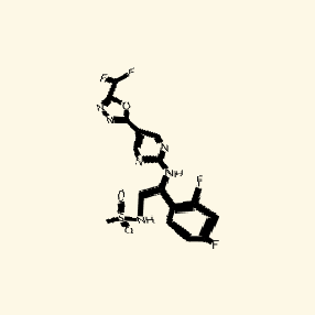 CS(=O)(=O)NCC(Nc1ncc(-c2nnc(C(F)F)o2)cn1)c1ccc(F)cc1F